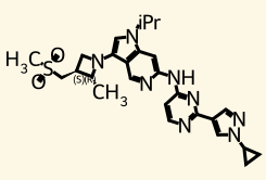 CC(C)n1cc(N2C[C@H](CS(C)(=O)=O)[C@H]2C)c2cnc(Nc3ccnc(-c4cnn(C5CC5)c4)n3)cc21